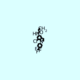 C=CC(=O)Nc1cc(Cl)c2c(ccn2-c2ccc(C(F)(F)F)cc2)c1